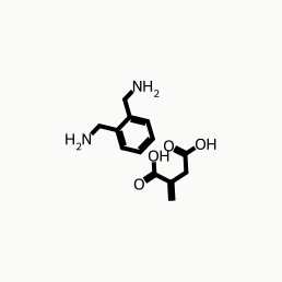 C=C(CC(=O)O)C(=O)O.NCc1ccccc1CN